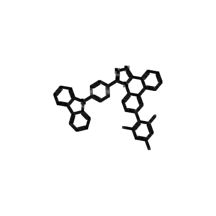 Cc1cc(C)c(-c2ccc3c(c2)c2ccccc2c2nnc(-c4ccc(-n5c6ccccc6c6ccccc65)cc4)n32)c(C)c1